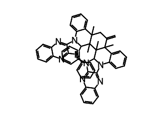 C=C1CC2(C)c3ccccc3N3c4nc5ccccc5nc4N(c4ccccc4)C3C2(C)C2(C)C3N(c4ccccc4)c4nc5ccccc5nc4N3c3ccccc3C12C